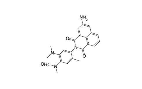 Cc1cc(N(C)C=O)c(N(C)C)cc1N1C(=O)c2cccc3cc(N)cc(c23)C1=O